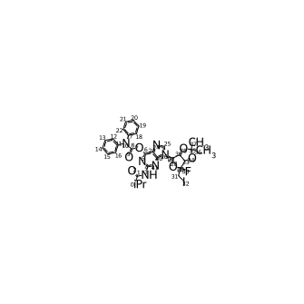 CC(C)C(=O)Nc1nc(OC(=O)N(c2ccccc2)c2ccccc2)c2ncn([C@@H]3O[C@@](F)(CI)C4OC(C)(C)OC43)c2n1